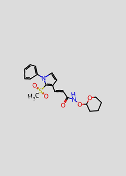 CS(=O)(=O)c1c(C=CC(=O)NOC2CCCCO2)ccn1-c1ccccc1